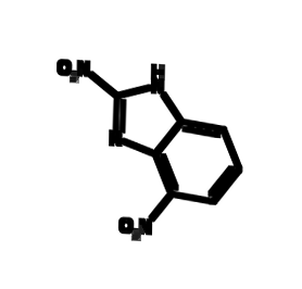 O=[N+]([O-])c1nc2c([N+](=O)[O-])cccc2[nH]1